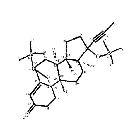 CC#CC1(O[Si](C)(C)C)CC[C@H]2[C@@H]3CCC4=CC(=O)CC[C@]4(CO[Si](C)(C)C)[C@@H]3CC[C@@]21C